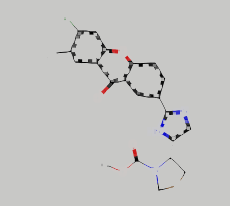 Cc1cc2c(=O)c3cc(-c4ncc([C@@H]5CSCN5C(=O)OC(C)(C)C)[nH]4)ccc3oc2cc1Br